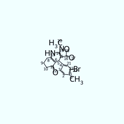 Cc1ccc(C2C3=C(CCCC3=O)Nc3c2c(=O)on3C)cc1Br